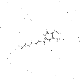 COCCOCCOc1ccc(C=O)c(O)c1